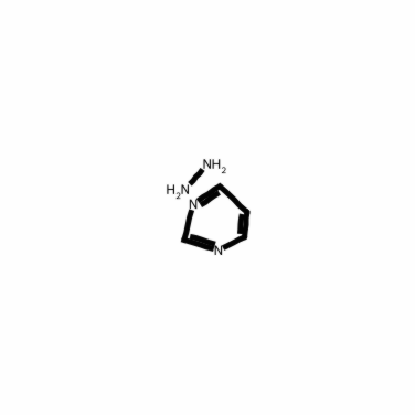 NN.c1cncnc1